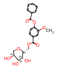 COc1cc(C(=O)OC[C@H]2OC[C@H](O)[C@@H](O)[C@H]2O)ccc1OC(=O)c1ccccc1